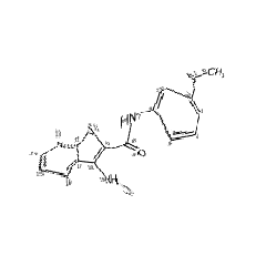 CSc1cccc(NC(=O)c2sc3ncccc3c2N)c1